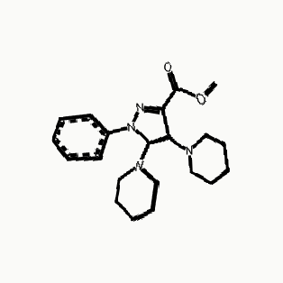 COC(=O)C1=NN(c2ccccc2)C(N2CCCCC2)C1N1CCCCC1